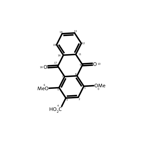 COc1cc(C(=O)O)c(OC)c2c1C(=O)c1ccccc1C2=O